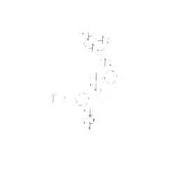 Cc1cn(-c2cc(NC(=O)c3ccc4c(c3)N(C(=O)c3cnc5cnccn35)CC4)cc(C(F)(F)F)c2)cn1